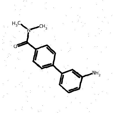 CN(C)C(=O)c1ccc(-c2cccc(N)c2)cc1